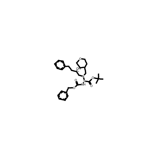 CC(C)(C)OC(=O)N(NC(=O)OCc1ccccc1)N(CC1CCOCC1)C[C@@H](O)CCc1ccccc1